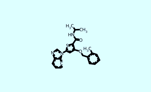 Cc1ccccc1COc1cc(-n2cnc3ccccc32)sc1C(=O)NC(C)C